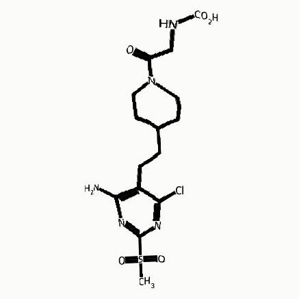 CS(=O)(=O)c1nc(N)c(CCC2CCN(C(=O)CNC(=O)O)CC2)c(Cl)n1